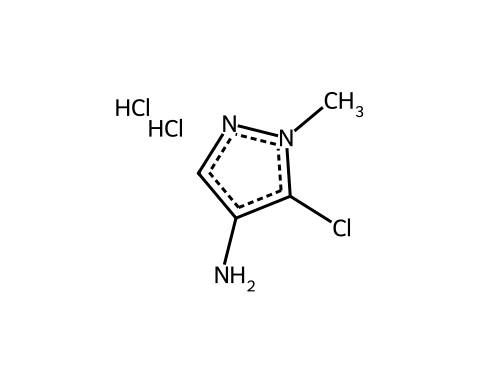 Cl.Cl.Cn1ncc(N)c1Cl